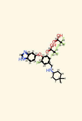 CC1(C)CCC(NCc2ccc(Oc3ccc4[nH]cnc4c3)c(F)c2)CC1.O=C(O)C(F)(F)F.O=C(O)C(F)(F)F